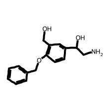 NCC(O)c1ccc(OCc2ccccc2)c(CO)c1